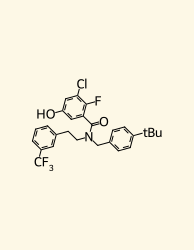 CC(C)(C)c1ccc(CN(CCc2cccc(C(F)(F)F)c2)C(=O)c2cc(O)cc(Cl)c2F)cc1